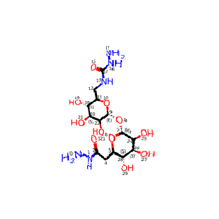 NNC(=O)CC1O[C@H](O[C@H]2OC(CNC(=O)NN)[C@@H](O)[C@H](O)C2O)C(O)[C@@H](O)[C@@H]1O